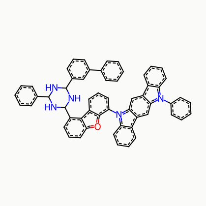 c1ccc(-c2cccc(C3NC(c4ccccc4)NC(c4cccc5oc6c(-n7c8ccccc8c8cc9c(cc87)c7ccccc7n9-c7ccccc7)cccc6c45)N3)c2)cc1